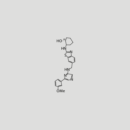 COc1cccc(-c2cncc(NCc3ccc4nc(NC5CCCC[C@H]5O)sc4c3)n2)c1